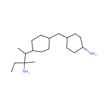 CCC(C)(N)C(C)C1CCC(CC2CCC(N)CC2)CC1